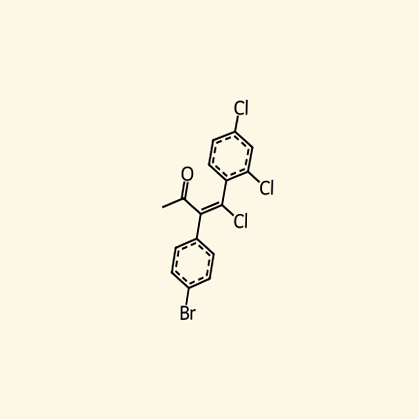 CC(=O)C(=C(Cl)c1ccc(Cl)cc1Cl)c1ccc(Br)cc1